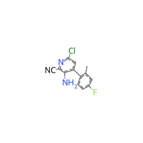 Cc1cc(F)ccc1-c1cc(Cl)nc(C#N)c1N